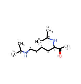 CC(=O)C(CCCCNC(C)C)NC(C)C